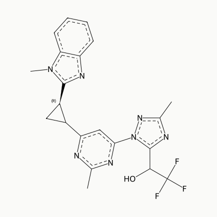 Cc1nc(C2C[C@H]2c2nc3ccccc3n2C)cc(-n2nc(C)nc2C(O)C(F)(F)F)n1